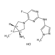 C[C@@H]1[C@@H]2CN(c3nc(Nc4cnn(C)c4)ncc3F)C[C@]12N.Cl